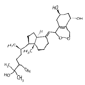 C[C@H](CCC(O)C(C)(C)O)[C@H]1CC[C@H]2C(=CC3OOCC4=C3C[C@@H](O)C[C@@H]4O)CCC[C@]12C